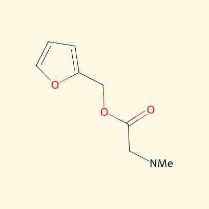 CNCC(=O)OCc1ccco1